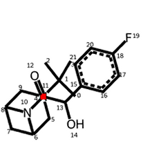 CC(C)(C)N1CC2CC(C1)N2C(=O)C(O)c1ccc(F)cc1